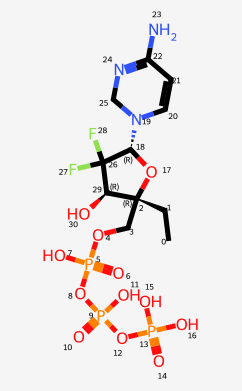 CC[C@]1(COP(=O)(O)OP(=O)(O)OP(=O)(O)O)O[C@@H](N2C=CC(N)=NC2)C(F)(F)[C@@H]1O